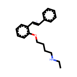 CCNCCCCOc1ccccc1/C=C/c1ccccc1